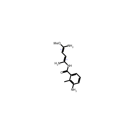 CO/C(N)=C/C=C(\N)NC(=O)c1cccc(N)c1C